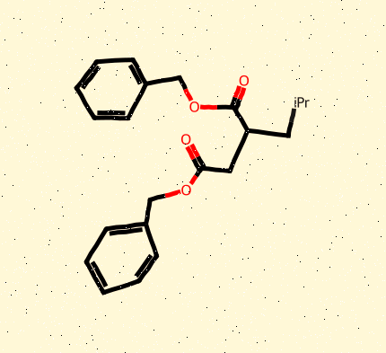 CC(C)CC(CC(=O)OCc1ccccc1)C(=O)OCc1ccccc1